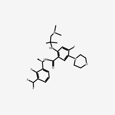 C[C@@H](NC(=O)c1cc(N2CCOCC2)c(F)cc1NC(C)(C)CN(C)C)c1cccc(C(F)F)c1F